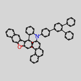 c1ccc(-c2ccc(-c3ccc(N(c4ccc5c(ccc6ccccc65)c4)c4ccccc4-c4cccc5oc6cc7ccccc7cc6c45)cc3)cc2-c2ccccc2)cc1